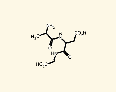 CC(N)C(=O)NC(CC(=O)O)C(=O)NCC(=O)O